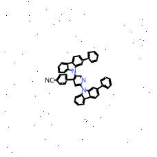 N#Cc1ccc(-c2cc(-n3c4ccccc4c4ccc(-c5ccccc5)cc43)ncc2-n2c3ccccc3c3ccc(-c4ccccc4)cc32)cc1